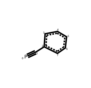 P#Cc1ccccc1